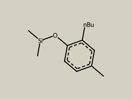 CCCCc1cc(C)ccc1O[Si](C)C